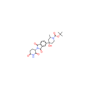 CC1CC(O)(c2ccc3c(c2)C(=O)N(C2CCC(=O)NC2=O)C3=O)CCN1C(=O)OC(C)(C)C